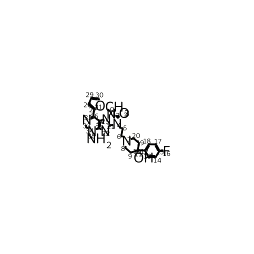 Cn1c(=O)n(CCN2CCC(O)(c3ccc(F)cc3)CC2)c2nc3c(n21)C(c1ccco1)=NCN3N